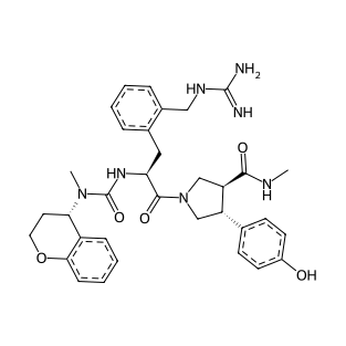 CNC(=O)[C@@H]1CN(C(=O)[C@H](Cc2ccccc2CNC(=N)N)NC(=O)N(C)[C@H]2CCOc3ccccc32)C[C@H]1c1ccc(O)cc1